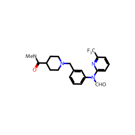 CNC(=O)C1CCN(Cc2cccc(N(C=O)c3cccc(C(F)(F)F)n3)c2)CC1